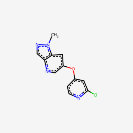 Cn1ncc2ncc(Oc3ccnc(Cl)c3)cc21